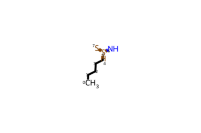 CCCCC[SH](=N)=S